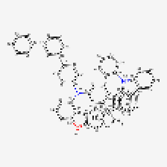 CC1(C)c2ccccc2-c2ccc(N(c3ccc(-c4cccc(-c5ccccc5)c4)cc3)c3cccc4oc5ccc(-c6ccc7c8ccccc8n(-c8ccccc8)c7c6)cc5c34)cc21